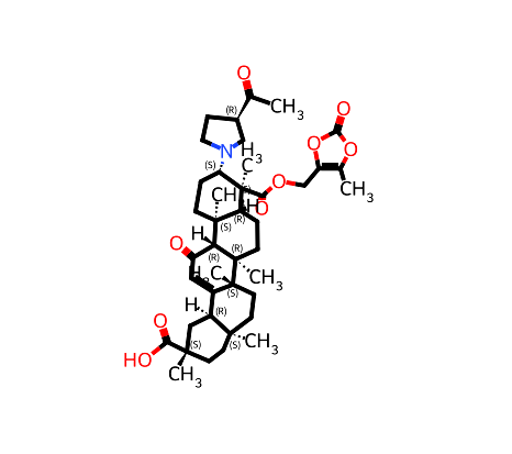 CC(=O)[C@@H]1CCN([C@H]2CC[C@@]3(C)[C@@H](CC[C@]4(C)[C@@H]3C(=O)C=C3[C@@H]5C[C@@](C)(C(=O)O)CC[C@]5(C)CC[C@]34C)[C@]2(C)C(=O)OCc2oc(=O)oc2C)C1